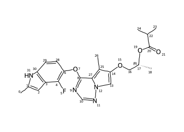 Cc1cc2c(F)c(Oc3ncnn4cc(OC[C@@H](C)OC(=O)C(C)C)c(C)c34)ccc2[nH]1